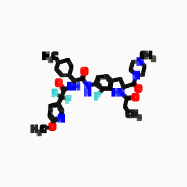 CCC(=O)NC(Cc1ccc(NC(=O)C(NC(=O)C(F)(F)c2ccc(OC)nc2)C2CCC(C)CC2)c(F)c1)C(=O)N1CCN(C)CC1